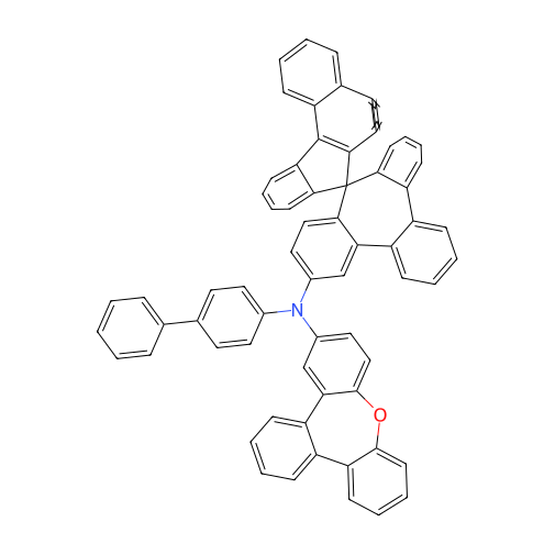 c1ccc(-c2ccc(N(c3ccc4c(c3)-c3ccccc3-c3ccccc3O4)c3ccc4c(c3)-c3ccccc3-c3ccccc3C43c4ccccc4-c4c3c3ccccc3c3ccccc43)cc2)cc1